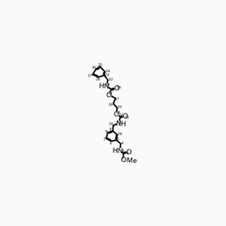 COC(=O)NCc1cccc(CNC(=O)OCCCOC(=O)NCc2ccccc2)c1